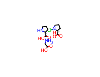 NCC(=O)O.O=C(O)[C@@H]1CCCN1.O=C(O)[C@@H]1CCCN1Cl